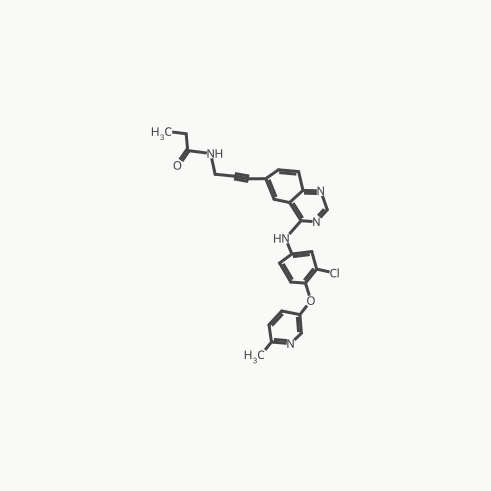 CCC(=O)NCC#Cc1ccc2ncnc(Nc3ccc(Oc4ccc(C)nc4)c(Cl)c3)c2c1